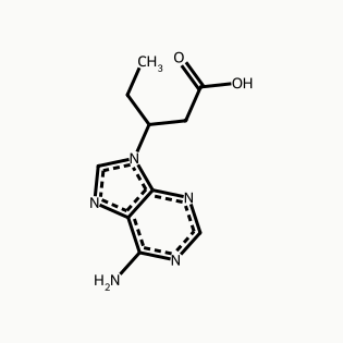 CCC(CC(=O)O)n1cnc2c(N)ncnc21